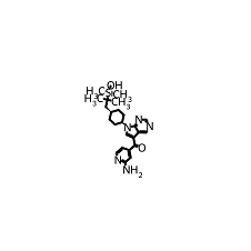 CC(C)(C[C@H]1CC[C@@H](n2cc(C(=O)c3ccnc(N)c3)c3cncnc32)CC1)[Si](C)(C)O